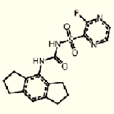 O=C(Nc1c2c(cc3c1CCC3)CCC2)NS(=O)(=O)c1nccnc1F